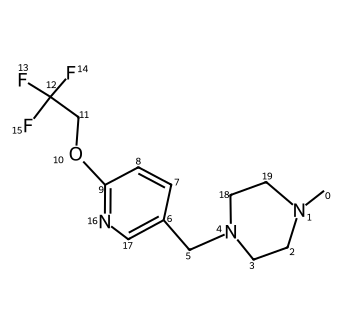 CN1CCN(Cc2ccc(OCC(F)(F)F)nc2)CC1